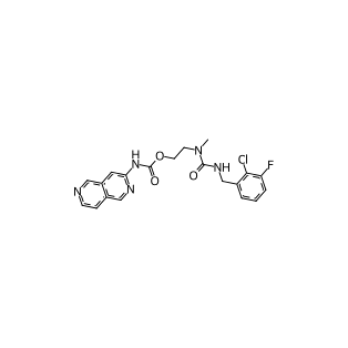 CN(CCOC(=O)Nc1cc2cnccc2cn1)C(=O)NCc1cccc(F)c1Cl